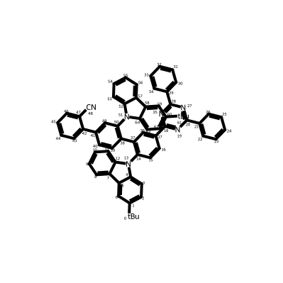 CC(C)(C)c1ccc2c(c1)c1ccccc1n2-c1ccc(-c2nc(-c3ccccc3)nc(-c3ccccc3)n2)cc1-c1ccc(-c2ccccc2C#N)cc1-n1c2ccccc2c2cc(C(C)(C)C)ccc21